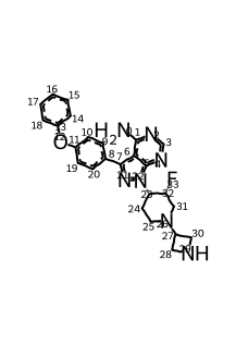 Nc1ncnc2c1c(-c1ccc(Oc3ccccc3)cc1)nn2[C@H]1CCN(C2CNC2)C[C@H]1F